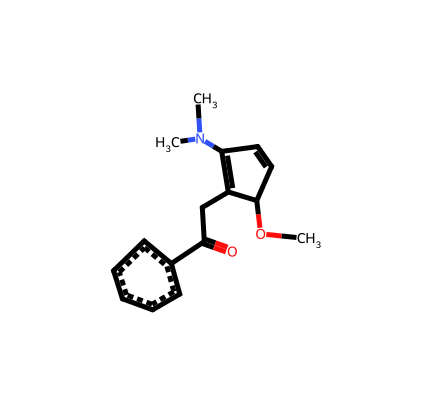 COC1C=CC(N(C)C)=C1CC(=O)c1ccccc1